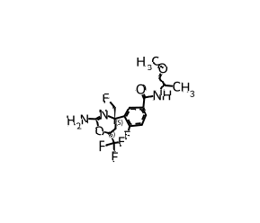 COCC(C)NC(=O)c1ccc(F)c([C@]2(CF)C[C@@H](C(F)(F)F)OC(N)=N2)c1